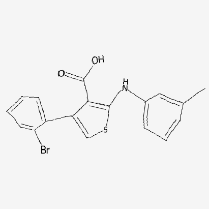 Cc1cccc(Nc2scc(-c3ccccc3Br)c2C(=O)O)c1